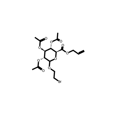 C=CCOC(=O)[C@H]1OC(OCCBr)[C@H](OC(C)=O)[C@@H](OC(C)=O)[C@@H]1OC(C)=O